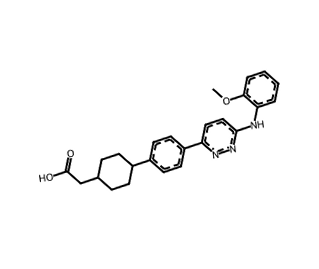 COc1ccccc1Nc1ccc(-c2ccc(C3CCC(CC(=O)O)CC3)cc2)nn1